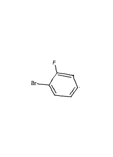 Fc1c[c]ccc1Br